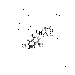 CCn1cc(C(=O)N2CC3(CCOCC3)C2)c(=O)c2cc(Cl)nnc21